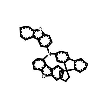 c1ccc2c(c1)-c1ccc(N(c3ccc4oc5ccccc5c4c3)c3cccc4oc5ccccc5c34)cc1C21CCCC1